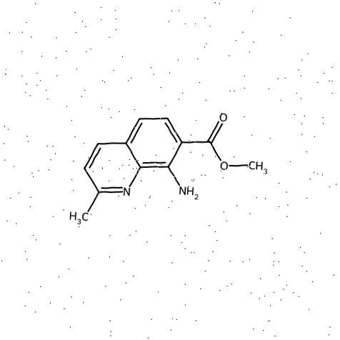 COC(=O)c1ccc2ccc(C)nc2c1N